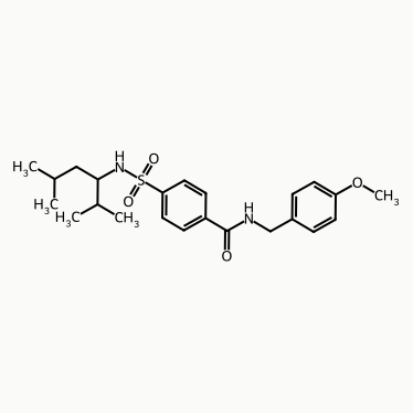 COc1ccc(CNC(=O)c2ccc(S(=O)(=O)NC(CC(C)C)C(C)C)cc2)cc1